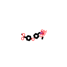 CCOP(=O)(O)Cc1ccc(Oc2ccc(C(=O)OC)cc2)cc1